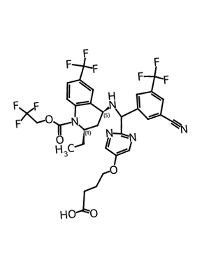 CC[C@@H]1C[C@H](NC(c2cc(C#N)cc(C(F)(F)F)c2)c2ncc(OCCCC(=O)O)cn2)c2cc(C(F)(F)F)ccc2N1C(=O)OCC(F)(F)F